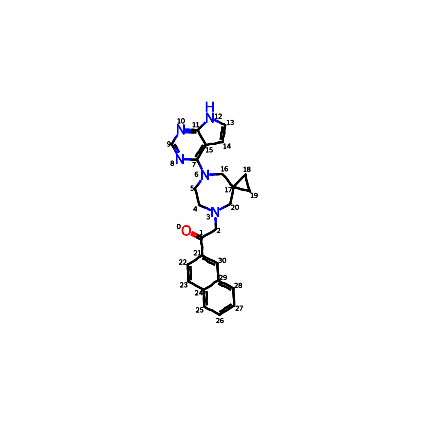 O=C(CN1CCN(c2ncnc3[nH]ccc23)CC2(CC2)C1)c1ccc2ccccc2c1